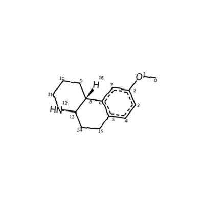 COc1ccc2c(c1)[C@H]1CCCNC1CC2